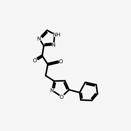 O=C(Cc1cc(-c2ccccc2)on1)C(=O)c1nc[nH]n1